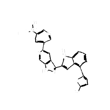 CC(=O)c1ccc(-c2cccc3[nH]c(-c4n[nH]c5cnc(-c6cncc(N(C)C)c6)cc45)cc23)s1